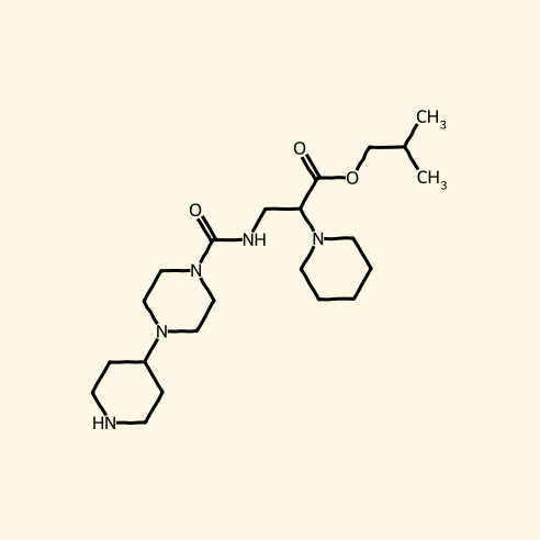 CC(C)COC(=O)C(CNC(=O)N1CCN(C2CCNCC2)CC1)N1CCCCC1